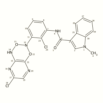 Cn1cc(C(=O)Nc2cccc(-n3o[nH]c4nc(Cl)cnc4o3)c2Cl)c2ccccc21